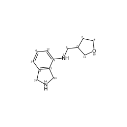 c1cc2c(c(NCC3CCOC3)c1)CNC2